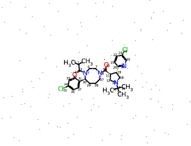 CC(C)C(=O)N1CCN(C(=O)[C@@H]2CN(C(C)(C)C)C[C@H]2c2ccc(Cl)cn2)CCC[C@H]1c1ccc(Cl)cc1